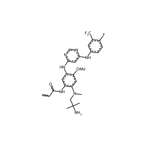 C=CC(=O)Nc1cc(Nc2cc(Nc3ccc(F)c(C(F)(F)F)c3)ncn2)c(OC)cc1N(C)CC(C)(C)N